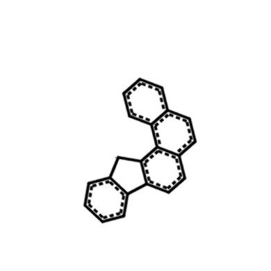 [CH]1c2ccccc2-c2ccc3ccc4ccccc4c3c21